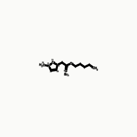 CCCCCOC(=O)CN1[C+]N(C)C=C1.[Br-]